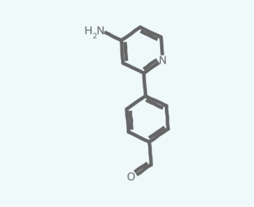 Nc1ccnc(-c2ccc(C=O)cc2)c1